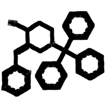 OC1CCN(C(c2ccccc2)(c2ccccc2)c2ccccc2)C/C1=C\c1cnccn1